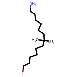 CC(C)(CCCCCCN)CCCCCCI